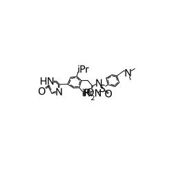 CC(C)c1cc(-c2c[nH]c(=O)cn2)cc(C(C)C)c1CC(=O)N=S(N)(=O)c1ccc(CN(C)C)cc1